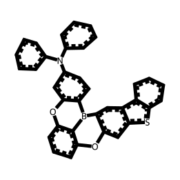 c1ccc(N(c2ccccc2)c2ccc3c(c2)Oc2cccc4c2B3c2cc3c(cc2O4)sc2ccccc23)cc1